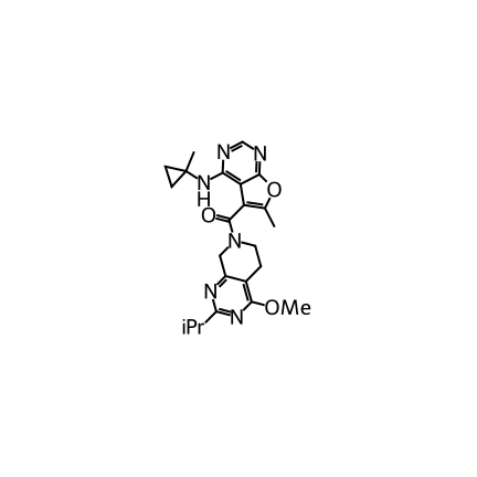 COc1nc(C(C)C)nc2c1CCN(C(=O)c1c(C)oc3ncnc(NC4(C)CC4)c13)C2